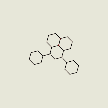 C1CCC(P(CP(C2CCCCC2)C2CCCCC2)C2CCCCC2)CC1